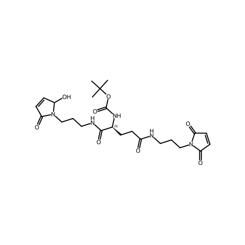 CC(C)(C)OC(=O)N[C@@H](CCC(=O)NCCCN1C(=O)C=CC1=O)C(=O)NCCCN1C(=O)C=CC1O